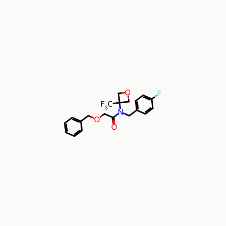 O=C(COCc1ccccc1)N(Cc1ccc(F)cc1)C1(C(F)(F)F)COC1